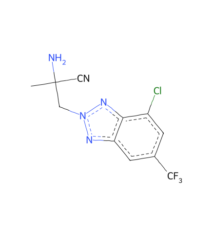 CC(N)(C#N)Cn1nc2cc(C(F)(F)F)cc(Cl)c2n1